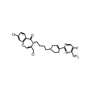 Nc1nc(C2=CCN(CCCCN3C(=O)c4ccc(Cl)cc4OC=C3CCl)CC2)ncc1F